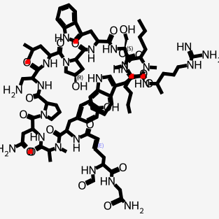 CCCCC(C(=O)N(C)C(CCCC)C(=O)NC(C)CCCNC(=N)N)N(C)C(=O)C(Cc1c[nH]c2ccccc12)NC(=O)[C@H](CO)NC(=O)C(Cc1c[nH]c2ccccc12)NC(=O)C1C[C@@H](O)CN1C(=O)C(CC(C)C)NC(=O)C(CN)NC(=O)C1CCCN1C(=O)C(CC(N)=O)NC(=O)C(C)N(C)C(=O)C(Cc1ccc(O)cc1)NC(=O)/C=C/CC(NC=O)C(=O)NCC(N)=O